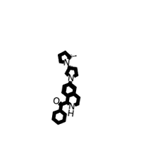 C[C@H]1CCCN1[C@H]1CCN(c2ccc3c(c2)CCNC3C(=O)C2CCCCC2)C1